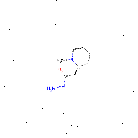 CN1CCCC[C@H]1CC(=O)NN